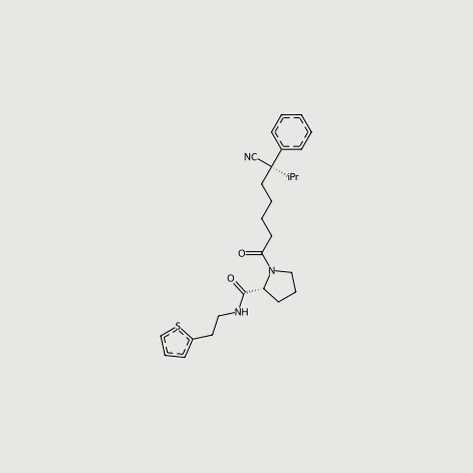 CC(C)[C@@](C#N)(CCCCC(=O)N1CCC[C@@H]1C(=O)NCCc1cccs1)c1ccccc1